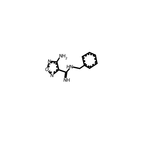 N=C(NCc1ccccc1)c1nonc1N